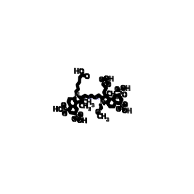 COCC[N+]1=C(/C=C/C=C/C=C2/N(CCCCCC(=O)O)c3ccc4c(S(=O)(=O)O)cc(S(=O)(=O)O)cc4c3C2(C)C)C(C)(CCCS(=O)(=O)O)c2c1ccc1c(S(=O)(=O)O)cc(S(=O)(=O)O)cc21